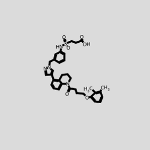 Cc1cccc(OCCCC(=O)N2CCCc3c(-c4cnn(Cc5cccc(NS(=O)(=O)CCC(=O)O)c5)c4)cccc32)c1C